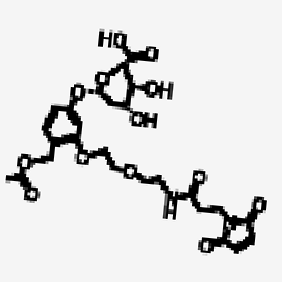 CC(=O)OCc1ccc(O[C@H]2C[C@@H](O)[C@H](O)[C@@H](C(=O)O)O2)cc1OCCOCCNC(=O)CCN1C(=O)C=CC1=O